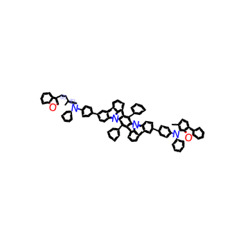 CC(/C=C\c1coc2ccccc12)=C\N(c1ccccc1)c1ccc(-c2ccc3c(c2)c2cccc4c5c(-c6ccccc6)c6c(c(-c7ccccc7)c5n3c24)c2cccc3c4cc(-c5ccc(N(c7ccccc7)c7c(C)ccc8c7oc7ccccc78)cc5)ccc4n6c32)cc1